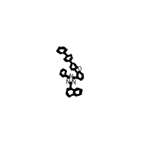 c1ccc(-c2ccc(-c3ccc4c(c3)oc3cccc(-c5nc(-c6ccccc6)nc(-c6cccc7ccccc67)n5)c34)cc2)cc1